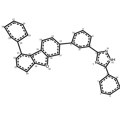 c1ccc(-c2nc(-c3cccc(-c4ccc5c(c4)oc4cccc(-c6ccccc6)c45)c3)n[nH]2)cc1